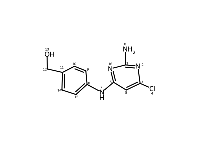 Nc1nc(Cl)cc(Nc2ccc(CO)cc2)n1